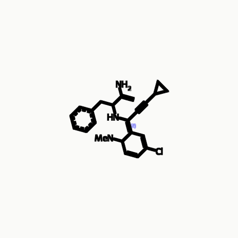 C=C(N)C(Cc1ccccc1)N/C(C#CC1CC1)=C1/C=C(Cl)C=CC1NC